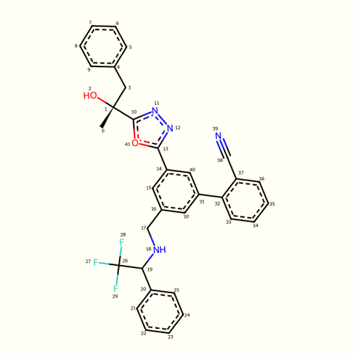 C[C@@](O)(Cc1ccccc1)c1nnc(-c2cc(CNC(c3ccccc3)C(F)(F)F)cc(-c3ccccc3C#N)c2)o1